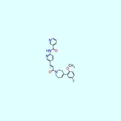 COc1ccc(F)cc1C1=CCCN(C(=O)/C=C/c2ccc(NC(=O)c3cccnc3)nc2)CC1